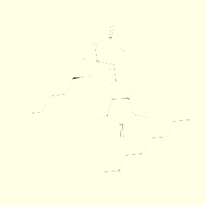 CCCCCCCC(=O)O.O=C(O)CCCC[C@@H]1SC[C@@H]2NC(=O)N[C@@H]21.O=C1CC(S(=O)(=O)O)C(=O)N1O